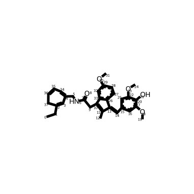 CCC1=CC(CNC(=O)CC2=C(C)/C(=C/c3cc(OC)c(O)c(OC)c3)c3ccc(OC)cc32)=CC=CC1